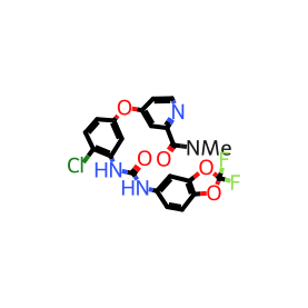 CNC(=O)c1cc(Oc2ccc(Cl)c(NC(=O)Nc3ccc4c(c3)OC(F)(F)O4)c2)ccn1